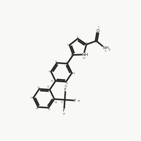 NC(=O)c1ccc(-c2ccc(-c3ccccc3C(F)(F)F)cc2)[nH]1